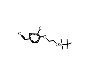 CC(C)(C)[Si](C)(C)OCCOc1ccc(C=O)cc1Cl